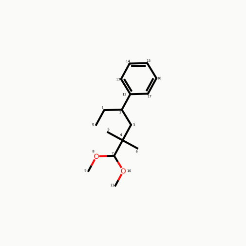 CCC(CC(C)(C)C(OC)OC)c1ccccc1